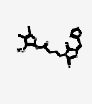 CCOC(=O)c1c(NC(=O)CCCN2C(=O)/C(=C\c3cccs3)SC2=S)sc(C)c1C